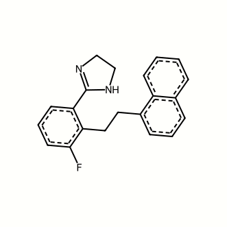 Fc1cccc(C2=NCCN2)c1CCc1cccc2ccccc12